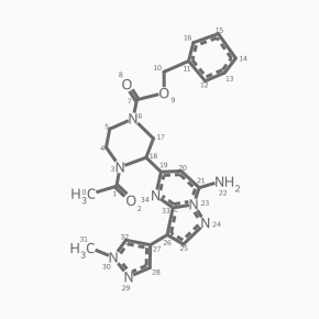 CC(=O)N1CCN(C(=O)OCc2ccccc2)CC1c1cc(N)n2ncc(-c3cnn(C)c3)c2n1